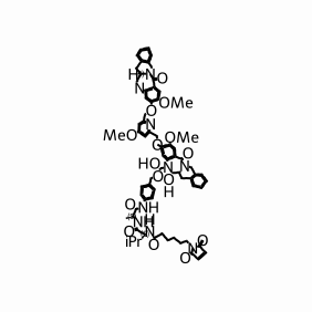 COc1cc(COc2cc3c(cc2OC)C(=O)N2Cc4ccccc4C[C@H]2C=N3)nc(COc2cc3c(cc2OC)C(=O)N2Cc4ccccc4CC2C(O)N3C(O)OCc2ccc(NC(=O)[C@H](C)NC(=O)[C@@H](NC(=O)CCCCCN3C(=O)C=CC3=O)C(C)C)cc2)c1